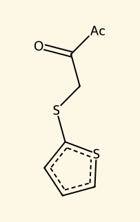 CC(=O)C(=O)CSc1cccs1